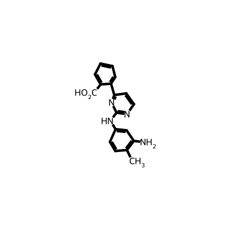 Cc1ccc(Nc2nccc(-c3ccccc3C(=O)O)n2)cc1N